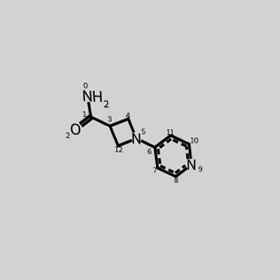 NC(=O)C1CN(c2ccncc2)C1